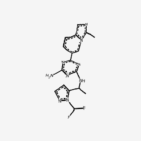 Cc1ncc2ccc(-c3nc(N)nc(NC(C)c4ccnn4C(F)F)n3)cn12